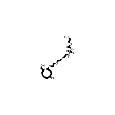 NCCOC(=O)NS(=O)(=O)NCCOCCOCCOC1=CCC(O)C=CCC=C(CO)O1